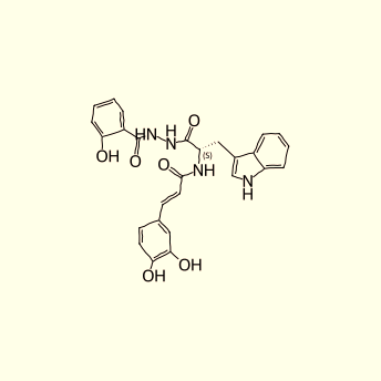 O=C(C=Cc1ccc(O)c(O)c1)N[C@@H](Cc1c[nH]c2ccccc12)C(=O)NNC(=O)c1ccccc1O